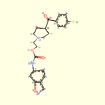 O=C(Nc1ccc2cnoc2c1)OCCN1CCC(C(=O)c2ccc(F)cc2)CC1